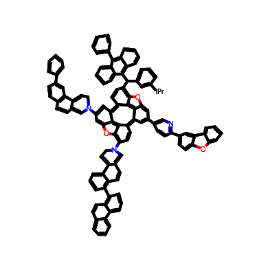 CC(C)c1cccc(C(c2c3ccccc3c(-c3ccccc3)c3ccccc23)c2ccc3c4cc(N5C=c6ccc7ccc(-c8ccccc8)cc7c6=CC5)cc5oc6c(N7C=c8ccc9c(-c%10cccc%11c%10ccc%10ccccc%10%11)cccc9c8=CC7)ccc(c7cc(-c8ccc(-c9ccc%10oc%11ccccc%11c%10c9)nc8)cc8oc2c3c87)c6c54)c1